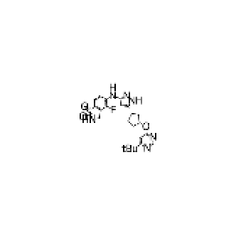 CC(C)(C)c1cc(O[C@@H]2CC[C@H](c3cc(Nc4ccc5c(c4F)CNS5(=O)=O)n[nH]3)C2)ncn1